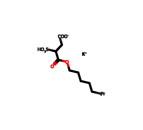 CC(C)CCCCCOC(=O)C(CC(=O)[O-])S(=O)(=O)O.[K+]